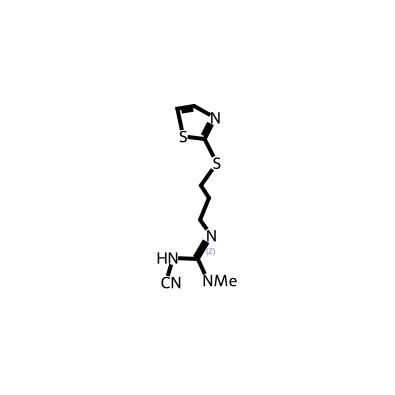 CN/C(=N/CCCSc1nccs1)NC#N